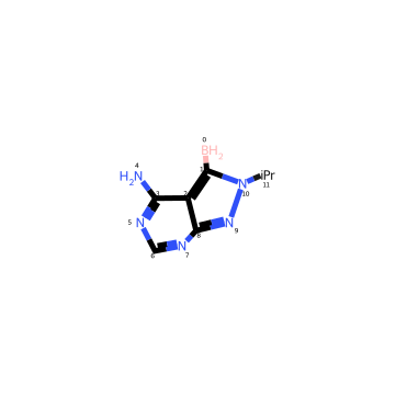 Bc1c2c(N)ncnc2nn1C(C)C